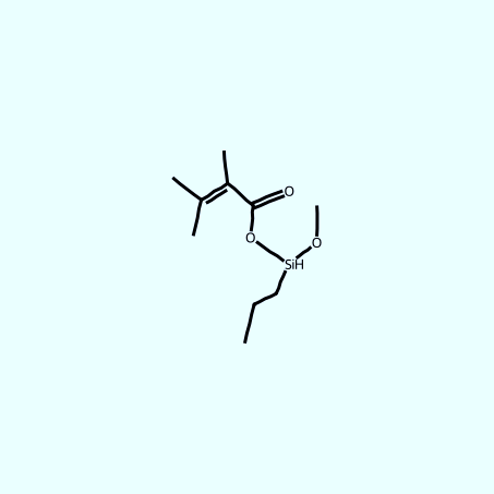 CCC[SiH](OC)OC(=O)C(C)=C(C)C